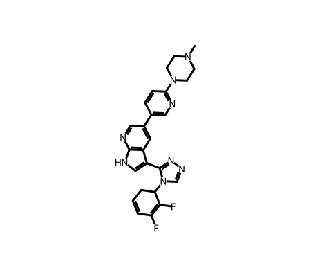 CN1CCN(c2ccc(-c3cnc4[nH]cc(-c5nncn5C5CC=CC(F)=C5F)c4c3)cn2)CC1